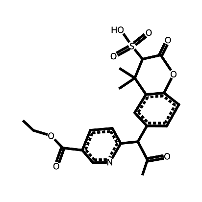 CCOC(=O)c1ccc(C(C(C)=O)c2ccc3c(c2)C(C)(C)C(S(=O)(=O)O)C(=O)O3)nc1